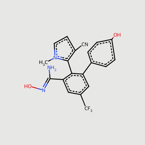 Cn1ccc(C#N)c1-c1c(/C(N)=N/O)cc(C(F)(F)F)cc1-c1ccc(O)cc1